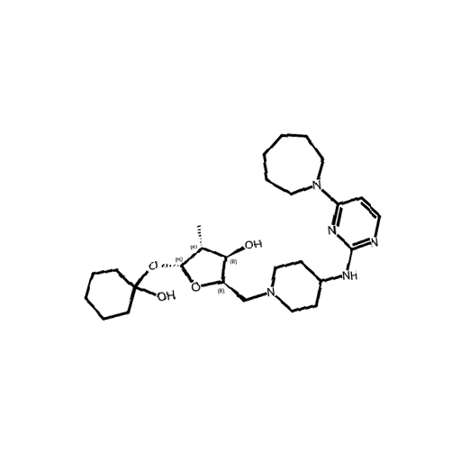 C[C@H]1[C@@H](OC2(O)CCCCC2)O[C@H](CN2CCC(Nc3nccc(N4CCCCCC4)n3)CC2)[C@@H]1O